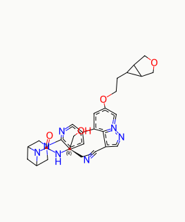 CC[C@H](CO)NC(=O)N1C2CC1CN(c1ccc(-c3cc(OCCC4C5COCC45)cn4ncc(C#N)c34)cn1)C2